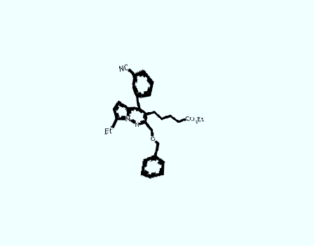 CCOC(=O)CCCCc1c(COCc2ccccc2)nn2c(CC)ccc2c1-c1cccc(C#N)c1